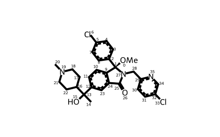 CO[C@]1(c2ccc(Cl)cc2)c2ccc(C(C)(O)C3CCN(C)CC3)cc2C(=O)N1Cc1ccc(Cl)cn1